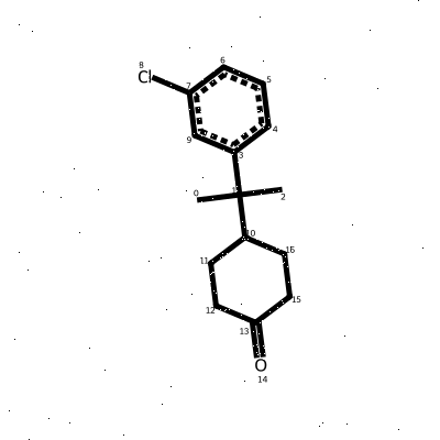 CC(C)(c1cccc(Cl)c1)C1CCC(=O)CC1